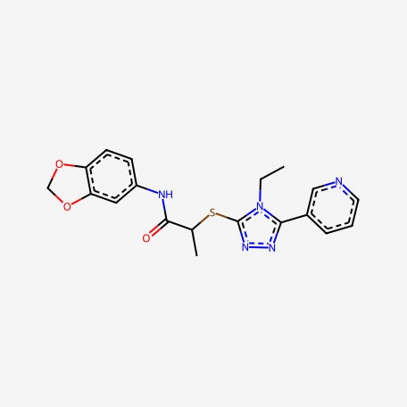 CCn1c(SC(C)C(=O)Nc2ccc3c(c2)OCO3)nnc1-c1cccnc1